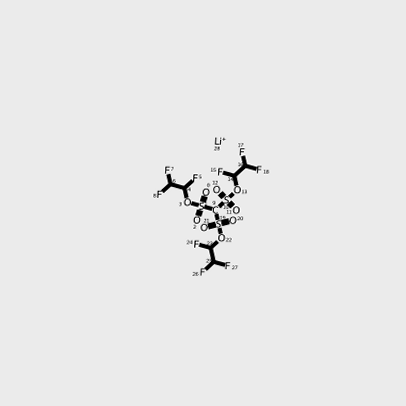 O=S(=O)(OC(F)C(F)F)[C-](S(=O)(=O)OC(F)C(F)F)S(=O)(=O)OC(F)C(F)F.[Li+]